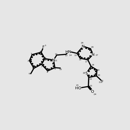 Cc1ccc(F)c2c1cc(C)n2CCNc1cc(-c2cc(F)c(C(=O)O)s2)ncn1